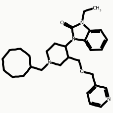 CCn1c(=O)n(C2CCN(CC3CCCCCCC3)CC2COCc2cccnc2)c2ccccc21